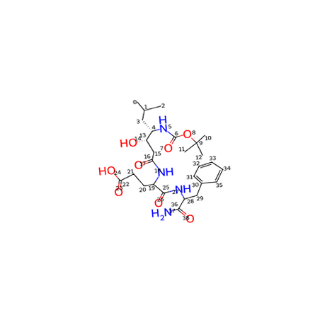 CC(C)C[C@H](NC(=O)OC(C)(C)C)[C@@H](O)CC(=O)NC(CCC(=O)O)C(=O)NC(Cc1ccccc1)C(N)=O